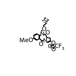 COc1ccc2c(c1)C(=O)N1C=C(OS(=O)(=O)C(F)(F)F)CC1C(=O)N2COCC[Si](C)(C)C